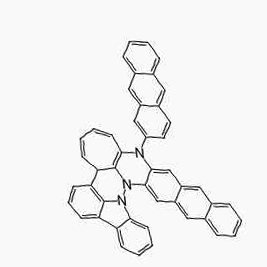 C1=CC2=C3C(C=C1)c1cccc4c5ccccc5n(c14)N3c1cc3cc4ccccc4cc3cc1N2c1ccc2cc3ccccc3cc2c1